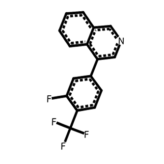 Fc1cc(-c2cncc3ccccc23)ccc1C(F)(F)F